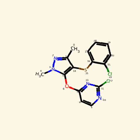 Cc1nn(C)c(Oc2ccnc(Cl)n2)c1Sc1ccccc1Cl